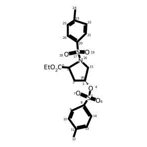 CCOC(=O)C1C[C@@H](OS(=O)(=O)c2ccc(C)cc2)CN1S(=O)(=O)c1ccc(C)cc1